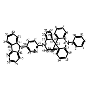 c1ccc(N2c3ccccc3C3(c4ccccc42)c2ccccc2N(c2ccc(-n4c5ccccc5c5ncccc54)cn2)c2ccccc23)cc1